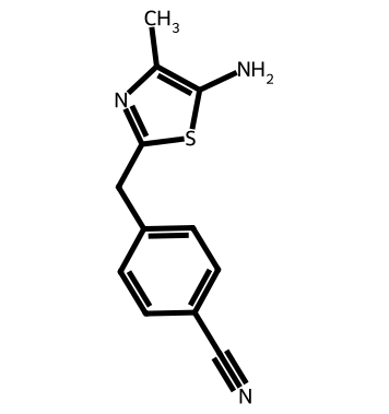 Cc1nc(Cc2ccc(C#N)cc2)sc1N